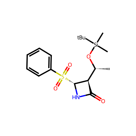 C[C@@H](O[Si](C)(C)C(C)(C)C)[C@H]1C(=O)N[C@@H]1S(=O)(=O)c1ccccc1